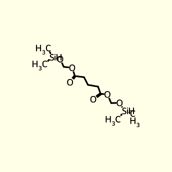 C[SiH](C)OCOC(=O)CCCC(=O)OCO[SiH](C)C